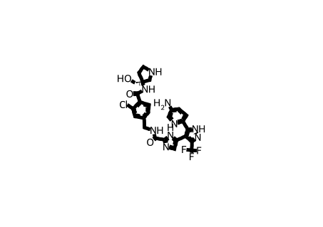 Nc1ccc(-c2[nH]nc(C(F)(F)F)c2-c2cnc(C(=O)NCc3ccc(C(=O)N[C@@]4(CO)CCNC4)c(Cl)c3)[nH]2)nc1